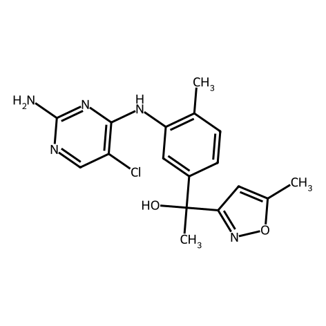 Cc1cc(C(C)(O)c2ccc(C)c(Nc3nc(N)ncc3Cl)c2)no1